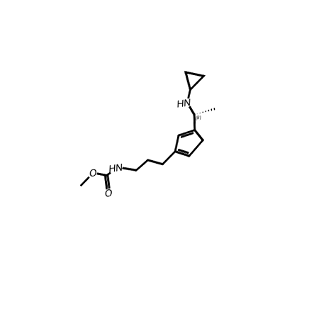 COC(=O)NCCCC1=CCC([C@@H](C)NC2CC2)=C1